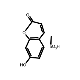 CS(=O)(=O)O.O=c1ccc2ccc(O)cc2o1